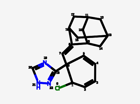 ClC1C=CC=CC1(C=C1C2CC3CC(C2)CC1C3)c1nc[nH]n1